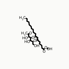 CC(=O)[C@H](O)[C@@H](O)[C@H](O)[C@H](O)CO.CCCCCCCCCCCCCCCCCC(=O)OO